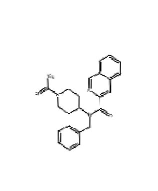 CCCCC(=O)N1CCC(N(Cc2ccccc2)C(=O)c2cc3ccccc3cn2)CC1